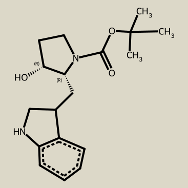 CC(C)(C)OC(=O)N1CC[C@@H](O)[C@H]1CC1CNc2ccccc21